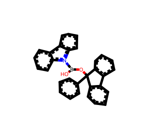 OB(OC1(c2ccccc2)c2ccccc2-c2ccccc21)n1c2ccccc2c2ccccc21